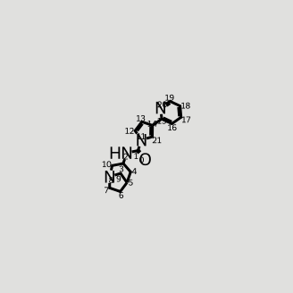 O=C(NC1CC2CCN(C2)C1)n1ccc(-c2ccccn2)c1